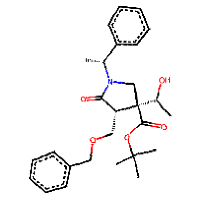 CC(O)[C@@]1(C(=O)OC(C)(C)C)CN([C@H](C)c2ccccc2)C(=O)[C@H]1COCc1ccccc1